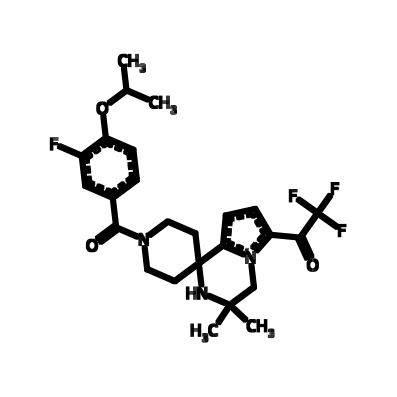 CC(C)Oc1ccc(C(=O)N2CCC3(CC2)NC(C)(C)Cn2c(C(=O)C(F)(F)F)ccc23)cc1F